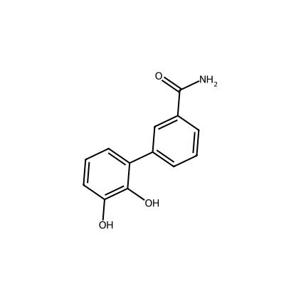 NC(=O)c1cccc(-c2cccc(O)c2O)c1